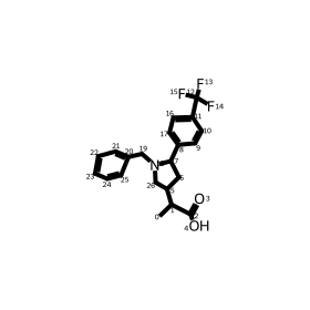 CC(C(=O)O)C1CC(c2ccc(C(F)(F)F)cc2)N(Cc2ccccc2)C1